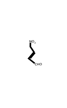 O=C/C=C/C[N+](=O)[O-]